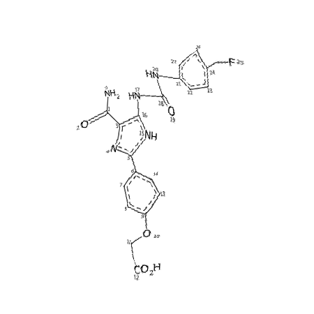 NC(=O)c1nc(-c2ccc(OCC(=O)O)cc2)[nH]c1NC(=O)Nc1ccc(F)cc1